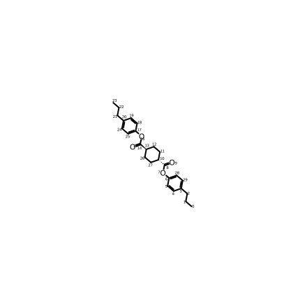 CCCc1ccc(OC(=O)[C@H]2CC[C@H](C(=O)Oc3ccc(CCC)cc3)CC2)cc1